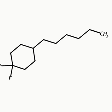 CCCCCCC1CCC(F)(F)CC1